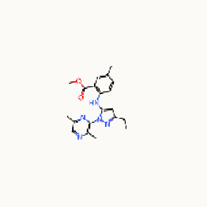 CCc1cc(Nc2ccc(C)cc2C(=O)OC)n(-c2nc(C)cnc2C)n1